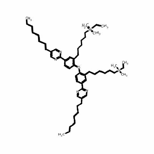 CCCCCCCCc1cnc(-c2ccc(Oc3ccc(-c4ncc(CCCCCCCC)cn4)cc3CCCCCC[Si](C)(C)CC)c(CCCCCC[Si](C)(C)CC)c2)nc1